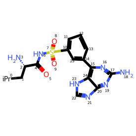 CC(C)C[C@H](N)C(=O)NS(=O)(=O)c1cccc(-c2nc(N)nc3nc[nH]c23)c1